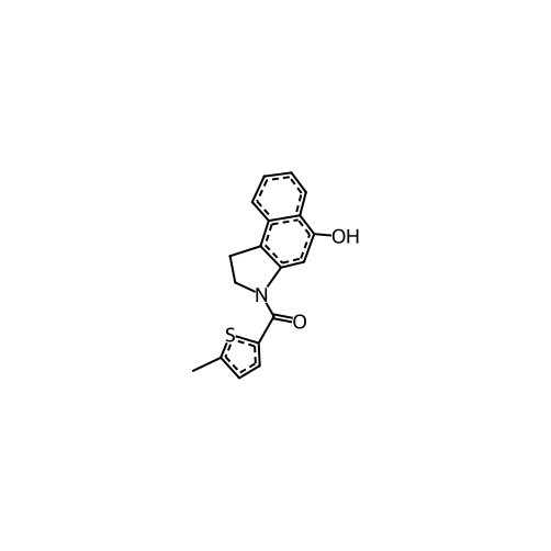 Cc1ccc(C(=O)N2CCc3c2cc(O)c2ccccc32)s1